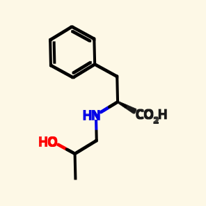 CC(O)CN[C@@H](Cc1ccccc1)C(=O)O